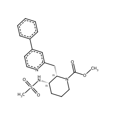 COC(=O)N1CCC[C@H](NS(C)(=O)=O)[C@@H]1Cc1cc(-c2ccccc2)ccn1